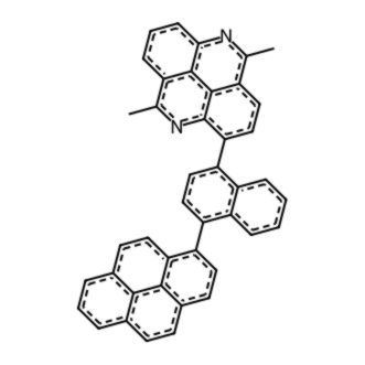 Cc1nc2c(-c3ccc(-c4ccc5ccc6cccc7ccc4c5c67)c4ccccc34)ccc3c(C)nc4cccc1c4c32